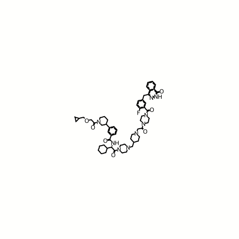 O=C(N[C@@H](C(=O)N1CCN(CC2CCN(CC(=O)N3CCN(C(=O)c4cc(Cc5n[nH]c(=O)c6ccccc56)ccc4F)CC3)CC2)CC1)C1CCCCC1)c1cccc(C2CCCN(C(=O)COCC3CC3)C2)c1